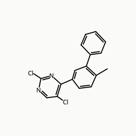 Cc1ccc(-c2nc(Cl)ncc2Cl)cc1-c1ccccc1